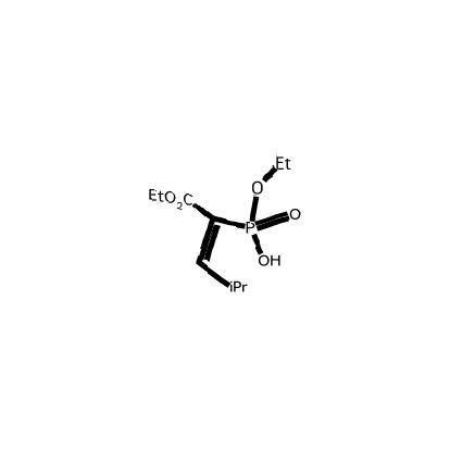 CCOC(=O)C(=CC(C)C)P(=O)(O)OCC